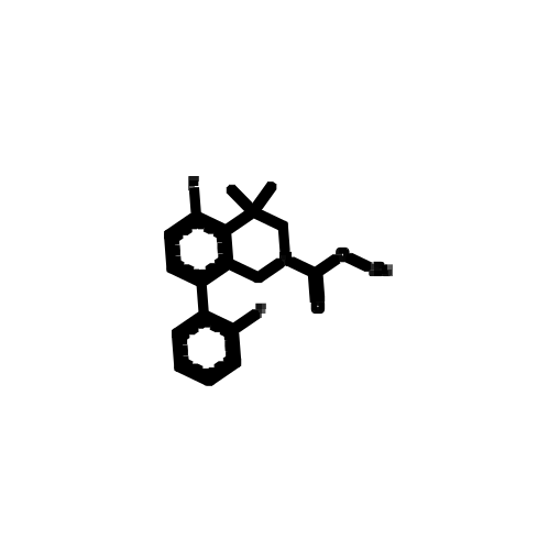 CC(C)(C)OC(=O)N1Cc2c(-c3ccccc3F)ccc(F)c2C(C)(C)C1